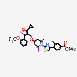 COC(=O)c1ccc(-c2csc(N3[C@H](C)C[C@H](OCc4c(-c5ccccc5OC(F)(F)F)noc4C4CC4)C[C@@H]3I)n2)c(C)c1